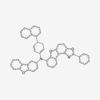 C1=CC(c2cccc3ccccc23)CC=C1N(c1ccc2oc3ccccc3c2c1)c1cccc2c1oc1ccc3oc(-c4ccccc4)nc3c12